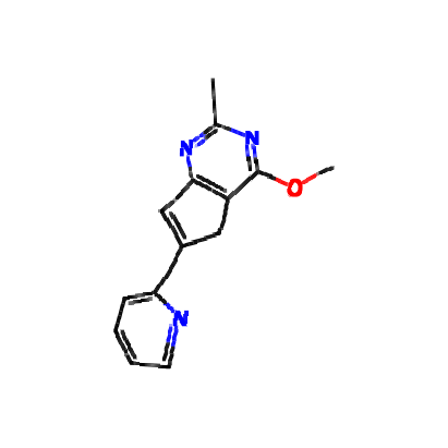 COc1nc(C)nc2c1CC(c1ccccn1)=C2